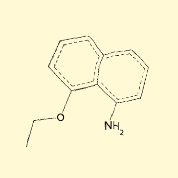 CCOc1cccc2cccc(N)c12